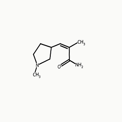 CC(=CC1CCN(C)C1)C(N)=O